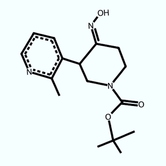 Cc1ncccc1C1CN(C(=O)OC(C)(C)C)CC/C1=N\O